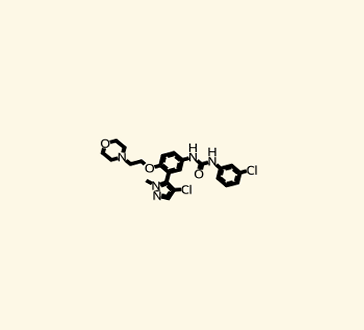 Cn1ncc(Cl)c1-c1cc(NC(=O)Nc2cccc(Cl)c2)ccc1OCCN1CCOCC1